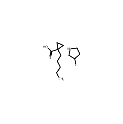 CCCCCC1(C(=O)O)CC1.FC1CCNC1